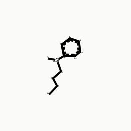 CCCC[Si](C)c1ccccc1